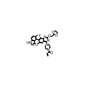 C=CC(=O)N1CCN(c2nc(OCC3OCCO3)nc3c(F)c(-c4c(C)ccc5[nH]ncc45)c(Cl)cc23)CC1